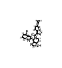 O=C(c1cnn2cc(C3CC3)ccc12)N1CCc2[nH]cnc2[C@H]1c1cc2c(F)cccn2n1